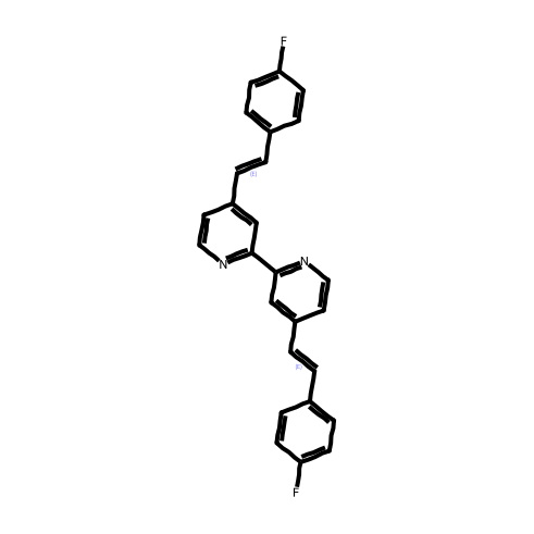 Fc1ccc(/C=C/c2ccnc(-c3cc(/C=C/c4ccc(F)cc4)ccn3)c2)cc1